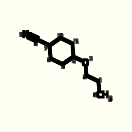 CCCOC1CCC(C#N)CC1